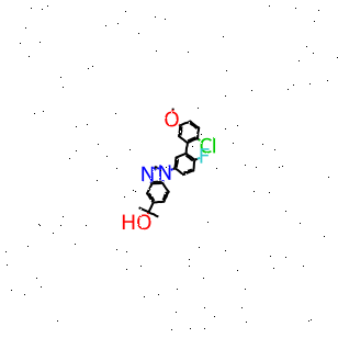 COc1ccc(Cl)c(-c2cc(-n3cnc4cc(C(C)(C)O)ccc43)ccc2F)c1